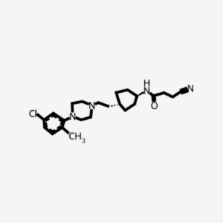 Cc1ccc(Cl)cc1N1CCN(CC[C@H]2CC[C@H](NC(=O)CCC#N)CC2)CC1